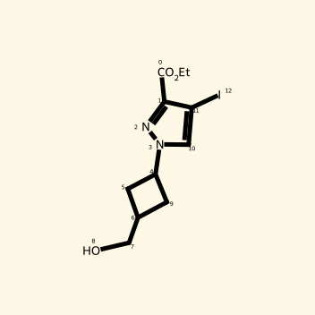 CCOC(=O)c1nn(C2CC(CO)C2)cc1I